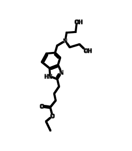 CCOC(=O)CCCc1nc2cc(CN(CCO)CCO)ccc2[nH]1